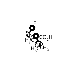 Cc1c(N2C(=O)CSC2c2ccc(F)cc2)ccc(C(=O)O)c1C1COC(C)(C)OC1